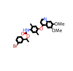 COc1cc2nccc(Oc3cc(C)c(NC(=O)OC(C)c4cccc(Br)c4)cc3C)c2cc1OC